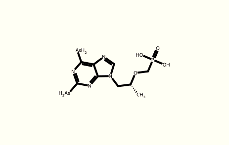 C[C@H](Cn1cnc2c([AsH2])nc([AsH2])nc21)OCP(=O)(O)O